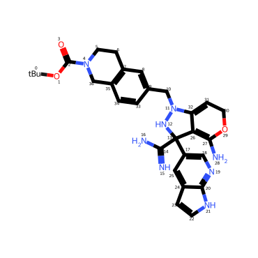 CC(C)(C)OC(=O)N1CCc2cc(CN3NC(C(=N)N)(c4cnc5[nH]ccc5c4)C4=C(N)OCC=C43)ccc2C1